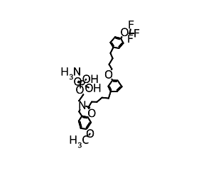 COc1ccc(CN(CCOP(=O)(O)O)C(=O)CCCCc2cccc(OCCCCc3ccc(OC(F)(F)F)cc3)c2)cc1.N